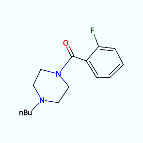 CCCCN1CCN(C(=O)c2ccccc2F)CC1